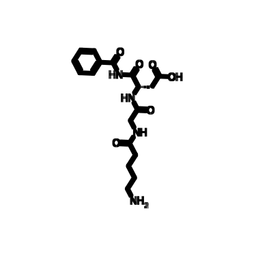 NCCCCC(=O)NCC(=O)N[C@@H](CC(=O)O)C(=O)NC(=O)c1ccccc1